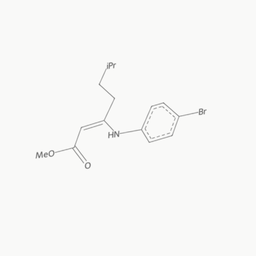 COC(=O)/C=C(/CCC(C)C)Nc1ccc(Br)cc1